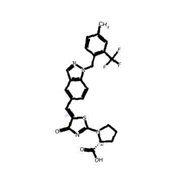 Cc1ccc(Cn2ncc3cc(/C=C4\SC(N5CCC[C@@H]5C(=O)O)=NC4=O)ccc32)c(C(F)(F)F)c1